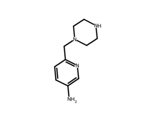 Nc1ccc(CN2CCNCC2)nc1